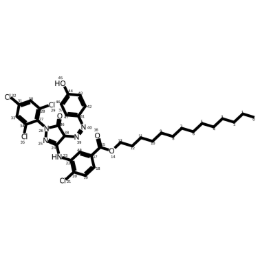 CCCCCCCCCCCCCCOC(=O)c1ccc(Cl)c(NC2=NN(c3c(Cl)cc(Cl)cc3Cl)C(=O)C2N=Nc2ccc(O)cc2)c1